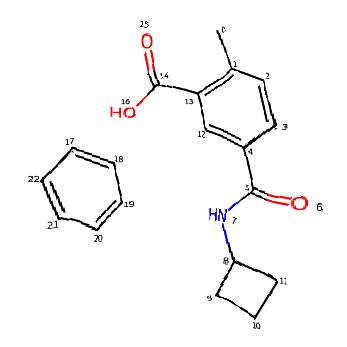 Cc1c[c]c(C(=O)NC2CCC2)cc1C(=O)O.[c]1ccccc1